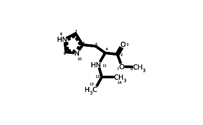 COC(=O)C(Cc1c[nH]cn1)NC(C)C